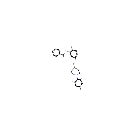 Cc1cc(F)c(N2CCC(COc3ccc(C)c(NC(=O)c4ccccc4)c3)CC2)c(F)c1